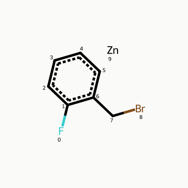 Fc1ccccc1CBr.[Zn]